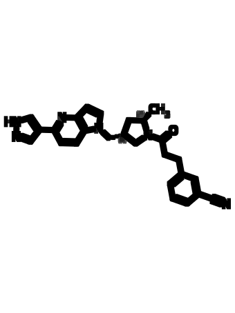 C[C@@H]1C[C@@H](Cn2ccc3nc(-c4cn[nH]c4)ccc32)CN1C(=O)CCc1cccc(C#N)c1